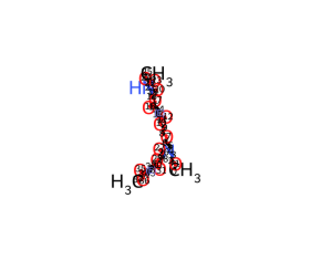 COCCN(CCOCCOC(=O)/C=C/C(=O)OCC(=O)NC(=O)OC)C(=O)COC(=O)/C=C/C(=O)OC